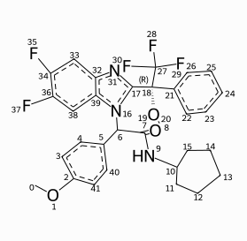 COc1ccc(C(C(=O)NC2CCCCC2)n2c([C@](OC)(c3ccccc3)C(F)(F)F)nc3cc(F)c(F)cc32)cc1